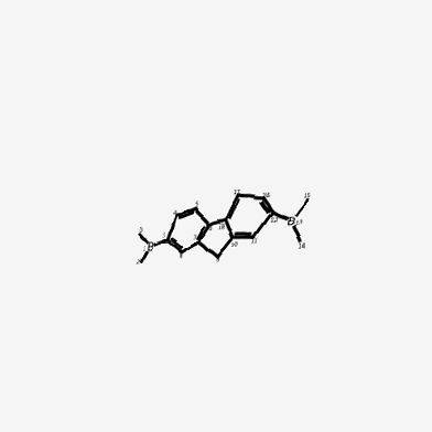 CB(C)c1ccc2c(c1)Cc1cc(B(C)C)ccc1-2